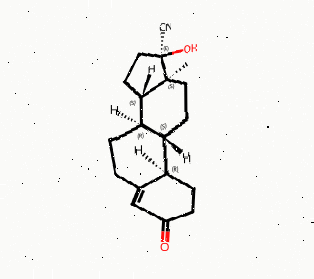 C[C@]12CC[C@H]3[C@@H](CCC4=CC(=O)CC[C@@H]43)[C@@H]1CC[C@]2(O)C#N